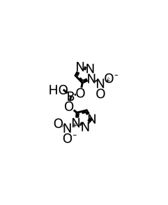 O=[N+]([O-])n1nncc1OB(O)Oc1cnnn1[N+](=O)[O-]